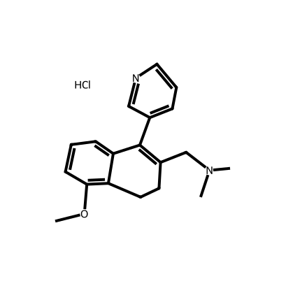 COc1cccc2c1CCC(CN(C)C)=C2c1cccnc1.Cl